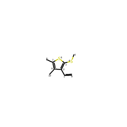 C=Cc1c(SC)sc(C)c1C